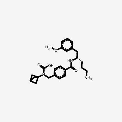 CCCC[C@@H](Cc1cccc(OC)c1)NC(=O)c1ccc(CN(C(=O)O)C23CC(C2)C3)cc1